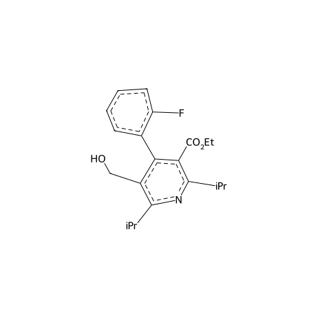 CCOC(=O)c1c(C(C)C)nc(C(C)C)c(CO)c1-c1ccccc1F